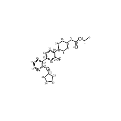 CCOC(=O)CC1CCC(c2ccc(-c3cccnc3OC3CCCC3)cc2F)CC1